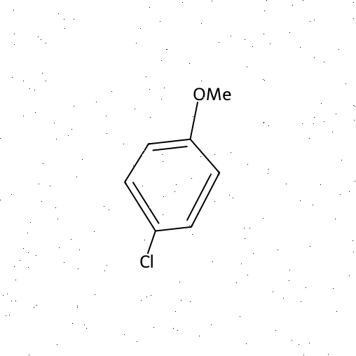 COc1ccc(Cl)cc1